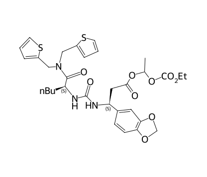 CCCC[C@H](NC(=O)N[C@@H](CC(=O)OC(C)OC(=O)OCC)c1ccc2c(c1)OCO2)C(=O)N(Cc1cccs1)Cc1cccs1